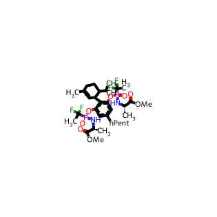 C=C(C)C1CCC(C)=CC1c1c(OP(=O)(N[C@@H](C)C(=O)OC)C(C)(F)F)cc(CCCCC)cc1OP(=O)(N[C@@H](C)C(=O)OC)C(C)(F)F